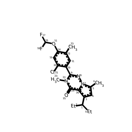 CCC(CC)c1cc(C)n2nc(-c3cc(C)c(OC(F)F)cc3Cl)n(C)c(=O)c12